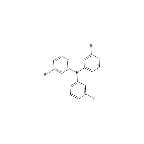 Brc1cccc(P(c2cccc(Br)c2)c2cccc(Br)c2)c1